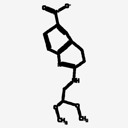 COC(CNC1=Nc2ccc([N+](=O)[O-])cc2CC1)OC